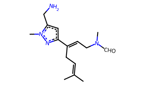 CC(C)=CCC(=CCN(C)C=O)c1cc(CN)n(C)n1